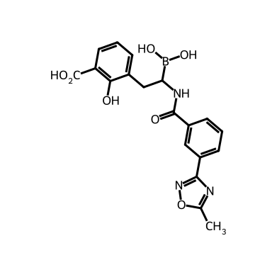 Cc1nc(-c2cccc(C(=O)NC(Cc3cccc(C(=O)O)c3O)B(O)O)c2)no1